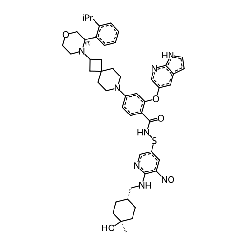 CC(C)c1ccccc1[C@@H]1COCCN1C1CC2(CCN(c3ccc(C(=O)NSc4cnc(NC[C@H]5CC[C@](C)(O)CC5)c(N=O)c4)c(Oc4cnc5[nH]ccc5c4)c3)CC2)C1